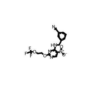 N#Cc1cccc(CNc2nc(OCCOC(F)(F)F)ncc2[N+](=O)[O-])c1